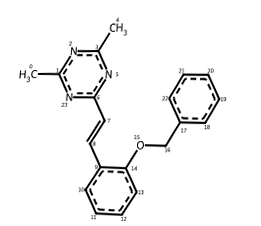 Cc1nc(C)nc(/C=C/c2ccccc2OCc2ccccc2)n1